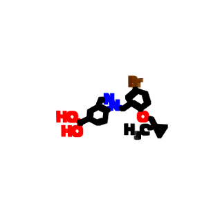 CC1(COc2ccc(Br)cc2Cn2ncc3cc(C(O)O)ccc32)CC1